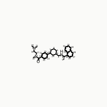 C[C@@H](NCC1CCCC(c2ccc(C(=O)N(C)CCN(C)C)cc2)C1)c1cccc2ccccc12